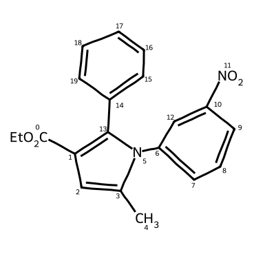 CCOC(=O)c1cc(C)n(-c2cccc([N+](=O)[O-])c2)c1-c1ccccc1